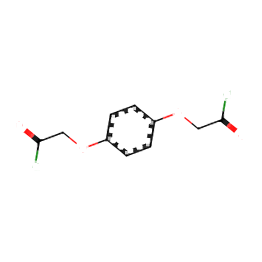 O=C(Cl)COc1ccc(OCC(=O)Cl)cc1